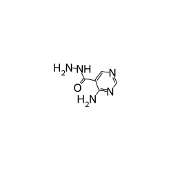 NNC(=O)c1cncnc1N